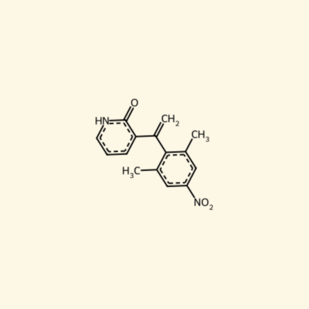 C=C(c1c(C)cc([N+](=O)[O-])cc1C)c1ccc[nH]c1=O